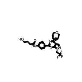 O=C(CCCO)Nc1ccc(-c2nc(N3C4CCC3COC4)c3cnn(CC(F)(F)F)c3n2)cc1